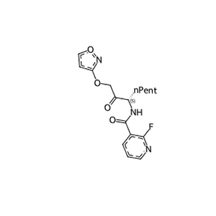 CCCCC[C@H](NC(=O)c1cccnc1F)C(=O)COc1ccon1